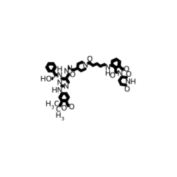 CC1(C)OC(=O)c2ccc(Nc3ncc(-c4nnc(C5CCN(C(=O)CCCCNc6cccc7c6C(=O)N(C6CCC(=O)NC6=O)C7=O)CC5)o4)c(N[C@H](CO)c4ccccc4)n3)cc21